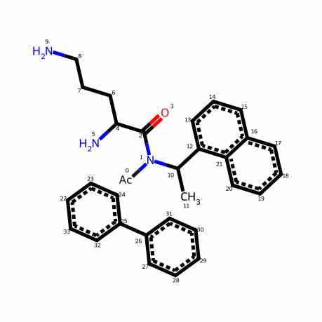 CC(=O)N(C(=O)C(N)CCCN)C(C)c1cccc2ccccc12.c1ccc(-c2ccccc2)cc1